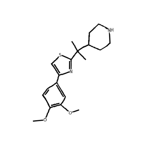 COc1ccc(-c2csc(C(C)(C)C3CCNCC3)n2)cc1OC